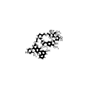 Cc1ncsc1-c1ccc([C@H](C)NC(=O)[C@@H]2C[C@@H](O)CN2C(=O)[C@@H](NC(=O)COCC2CCN(CCOc3nc(N4CCNC[C@@H]4C)c4cc(Cl)c(-c5cc(O)cc6ccccc56)c(F)c4n3)CC2)C(C)(C)C)cc1